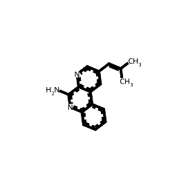 CC(C)=Cc1cnc2c(N)nc3ccccc3c2c1